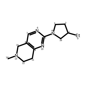 CCC1CCN(c2ncc3c(n2)CCN(C)C3)C1